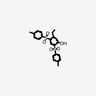 CCc1cc(O)c(S(=O)(=O)c2ccc(C)cc2)cc1S(=O)(=O)c1ccc(C)cc1